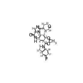 COc1cc2c(cc1C(=O)N1CCc3cc(F)ccc31)[nH]c(=O)c1cnc(C3CCOCC3)n12